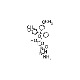 COc1ccc(C(OC[C@H]2O[C@@H](n3cnc(N)nc3=O)C[C@H]2O)(c2ccccc2)c2ccc(OC)cc2)cc1